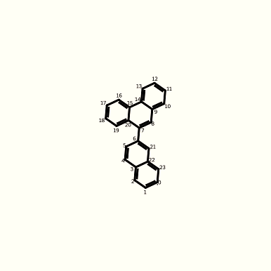 [c]1ccc2ccc(-c3cc4ccccc4c4ccccc34)cc2c1